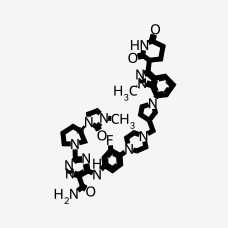 CN1CCN([C@@H]2CCCN(c3nnc(C(N)=O)c(Nc4ccc(N5CCN(CC6CCN(c7cccc8c(C9CCC(=O)NC9=O)nn(C)c78)C6)CC5)c(F)c4)n3)C2)C1=O